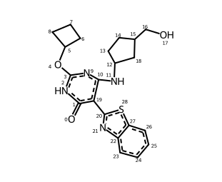 O=c1[nH]c(OC2CCC2)nc(NC2CCC(CO)C2)c1-c1nc2ccccc2s1